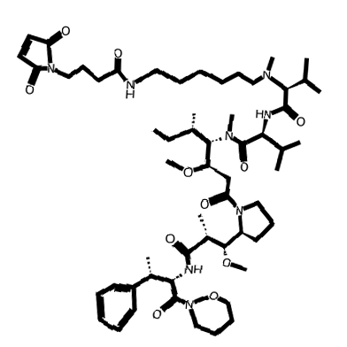 CC[C@H](C)[C@@H]([C@@H](CC(=O)N1CCC[C@H]1[C@H](OC)[C@@H](C)C(=O)N[C@H](C(=O)N1CCCCO1)[C@@H](C)c1ccccc1)OC)N(C)C(=O)[C@@H](NC(=O)[C@H](C(C)C)N(C)CCCCCCNC(=O)CCCN1C(=O)C=CC1=O)C(C)C